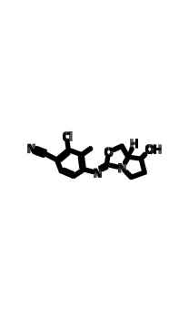 Cc1c(/N=C2\OC[C@@H]3C(O)CCN23)ccc(C#N)c1Cl